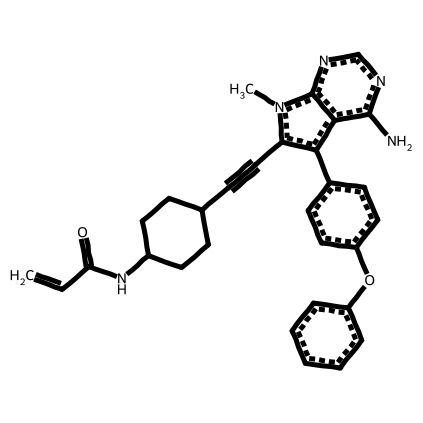 C=CC(=O)NC1CCC(C#Cc2c(-c3ccc(Oc4ccccc4)cc3)c3c(N)ncnc3n2C)CC1